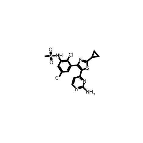 CS(=O)(=O)Nc1cc(Cl)cc(-c2nc(C3CC3)sc2-c2ccnc(N)n2)c1Cl